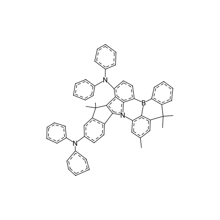 Cc1cc2c3c(c1)C(C)(C)c1ccccc1B3c1ccc(N(c3ccccc3)c3ccccc3)c3c4c(n-2c13)-c1ccc(N(c2ccccc2)c2ccccc2)cc1C4(C)C